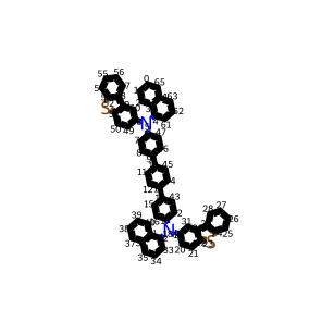 c1ccc2c(N(c3ccc(-c4ccc(-c5ccc(N(c6ccc7sc8ccccc8c7c6)c6cccc7ccccc67)cc5)cc4)cc3)c3ccc4sc5ccccc5c4c3)cccc2c1